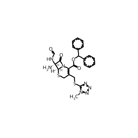 Cn1nnnc1SCC1=C(C(=O)OC(c2ccccc2)c2ccccc2)N2C(=O)[C@](N)(NC=O)[C@@H]2SC1